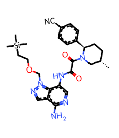 C[C@H]1CC[C@H](c2ccc(C#N)cc2)N(C(=O)C(=O)Nc2cnc(N)c3cnn(COCC[Si](C)(C)C)c23)C1